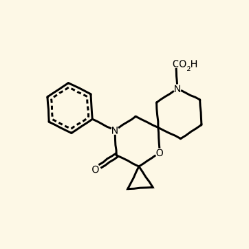 O=C(O)N1CCCC2(C1)CN(c1ccccc1)C(=O)C1(CC1)O2